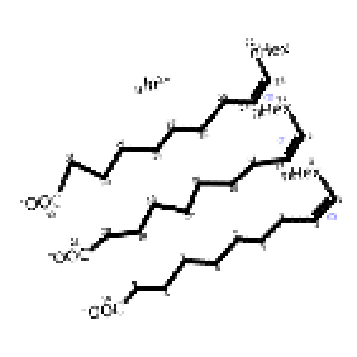 CCCCCC/C=C\CCCCCCCC(=O)[O-].CCCCCC/C=C\CCCCCCCC(=O)[O-].CCCCCC/C=C\CCCCCCCC(=O)[O-].[In+3]